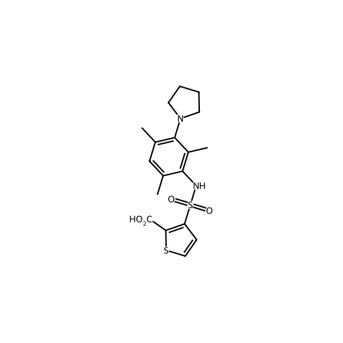 Cc1cc(C)c(N2CCCC2)c(C)c1NS(=O)(=O)c1ccsc1C(=O)O